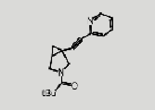 CC(C)(C)C(=O)N1CC2CC2(C#Cc2ccccn2)C1